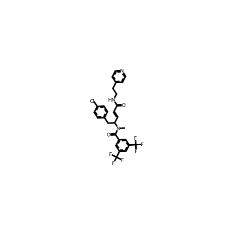 CN(C(=O)c1cc(C(F)(F)F)cc(C(F)(F)F)c1)C(C=CC(=O)NCCc1ccncc1)Cc1ccc(Cl)cc1